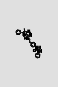 Cc1c(-c2ccccc2)oc2c(NCCc3ccc(NC(=O)Nc4ccccc4)cc3)ncnc12